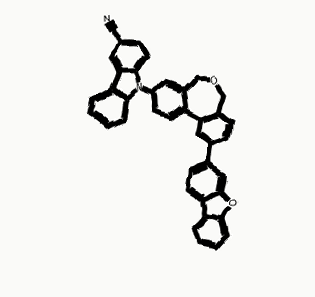 N#Cc1ccc2c(c1)c1ccccc1n2-c1ccc2c(c1)COCc1ccc(-c3ccc4c(c3)oc3ccccc34)cc1-2